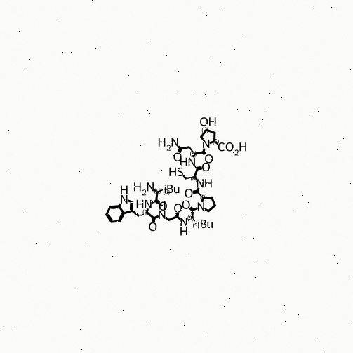 CC[C@H](C)[C@H](N)C(=O)N[C@@H](Cc1c[nH]c2ccccc12)C(=O)NCC(=O)N[C@H](C(=O)N1CCC[C@@H]1C(=O)N[C@@H](CS)C(=O)N[C@@H](CC(N)=O)C(=O)N1C[C@H](O)C[C@H]1C(=O)O)[C@@H](C)CC